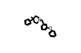 CC1(c2ccccc2)CCN(Cc2cccc(Oc3ccccc3)c2)CC1